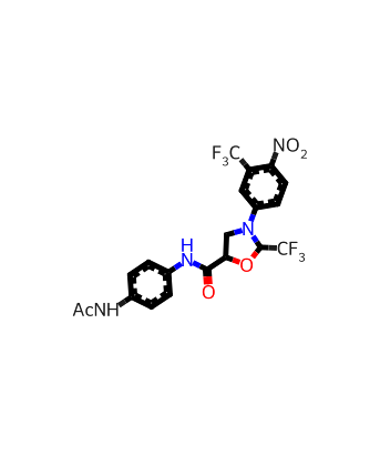 CC(=O)Nc1ccc(NC(=O)C2CN(c3ccc([N+](=O)[O-])c(C(F)(F)F)c3)C(C(F)(F)F)O2)cc1